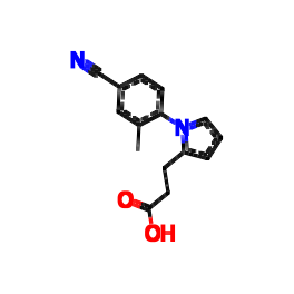 Cc1cc(C#N)ccc1-n1cccc1CCC(=O)O